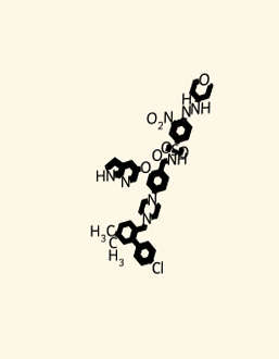 CC1(C)CCC(CN2CCN(c3ccc(C(=O)NS(=O)(=O)c4ccc(NNC5CCOCC5)c([N+](=O)[O-])c4)c(Oc4cnc5[nH]ccc5c4)c3)CC2)=C(c2ccc(Cl)cc2)C1